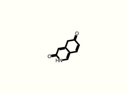 O=C1C=Cc2c[nH]c(=O)cc2C1